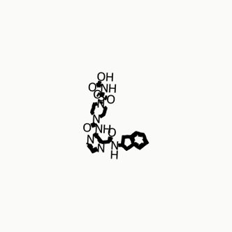 O=C(O)NS(=O)(=O)N1CCN(C(=O)Nc2nccnc2C(=O)NC2Cc3ccccc3C2)CC1